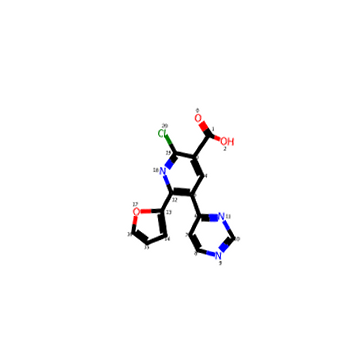 O=C(O)c1cc(-c2ccncn2)c(-c2ccco2)nc1Cl